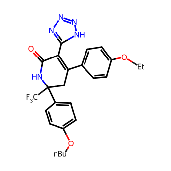 CCCCOc1ccc(C2(C(F)(F)F)CC(c3ccc(OCC)cc3)=C(c3nnn[nH]3)C(=O)N2)cc1